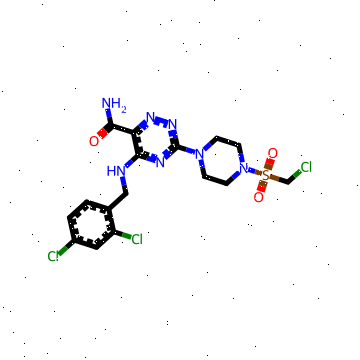 NC(=O)c1nnc(N2CCN(S(=O)(=O)CCl)CC2)nc1NCc1ccc(Cl)cc1Cl